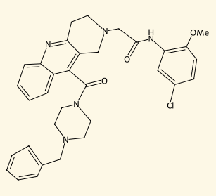 COc1ccc(Cl)cc1NC(=O)CN1CCc2nc3ccccc3c(C(=O)N3CCN(Cc4ccccc4)CC3)c2C1